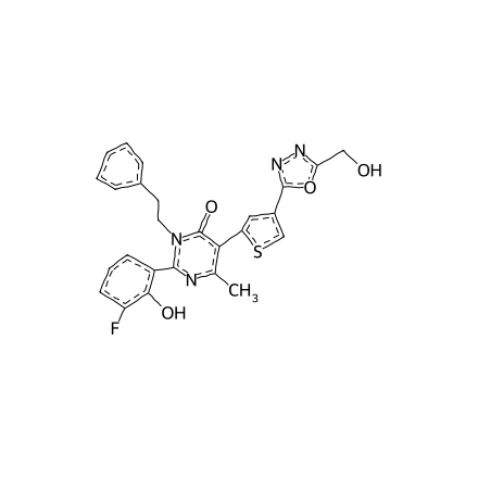 Cc1nc(-c2cccc(F)c2O)n(CCc2ccccc2)c(=O)c1-c1cc(-c2nnc(CO)o2)cs1